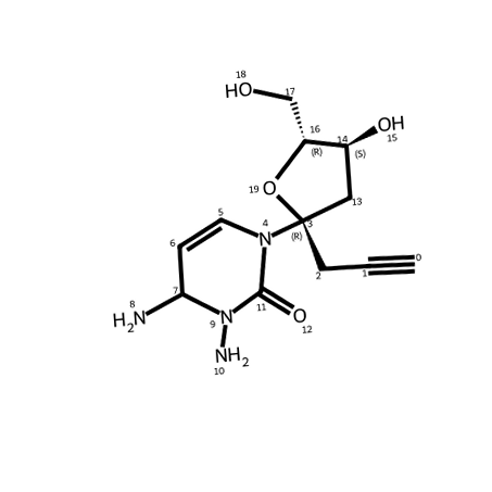 C#CC[C@]1(N2C=CC(N)N(N)C2=O)C[C@H](O)[C@@H](CO)O1